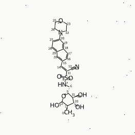 C[C@H]1C(O)O[C@H](CNS(=O)(=O)/C(C#N)=C/c2ccc3cc(N4CCOCC4)ccc3c2)[C@@H](O)[C@@H]1O